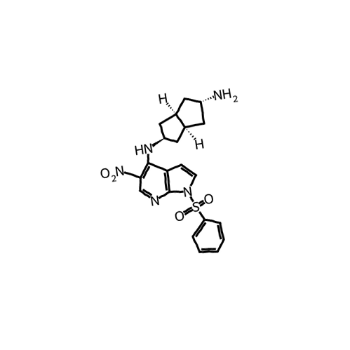 N[C@H]1C[C@@H]2C[C@H](Nc3c([N+](=O)[O-])cnc4c3ccn4S(=O)(=O)c3ccccc3)C[C@@H]2C1